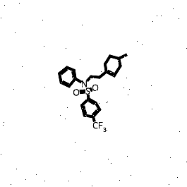 CC1CC=C(CCN(c2ccccc2)S(=O)(=O)c2ccc(C(F)(F)F)cc2)CC1